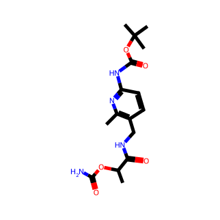 Cc1nc(NC(=O)OC(C)(C)C)ccc1CNC(=O)C(C)OC(N)=O